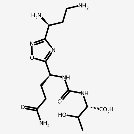 CC(O)[C@H](NC(=O)N[C@@H](CCC(N)=O)c1nc([C@@H](N)CCN)no1)C(=O)O